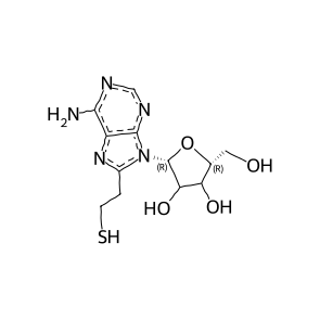 Nc1ncnc2c1nc(CCS)n2[C@@H]1O[C@H](CO)C(O)C1O